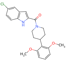 COc1cccc(OC)c1C1CCN(C(=O)c2cc3cc(Cl)ccc3[nH]2)CC1